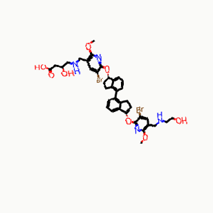 COc1nc(O[C@H]2CCc3c(-c4cccc5c4CC[C@@H]5Oc4nc(OC)c(CNC[C@@H](O)CC(=O)O)cc4Br)cccc32)c(Br)cc1CNCCO